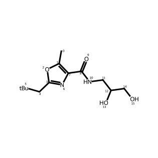 Cc1oc(CC(C)(C)C)nc1C(=O)NCC(O)CO